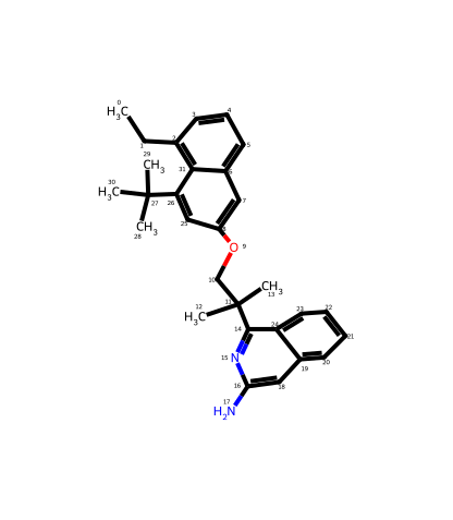 CCc1cccc2cc(OCC(C)(C)c3nc(N)cc4ccccc34)cc(C(C)(C)C)c12